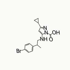 CC(CNc1cc(C2CC2)nn1C(=O)O)c1ccc(Br)cc1